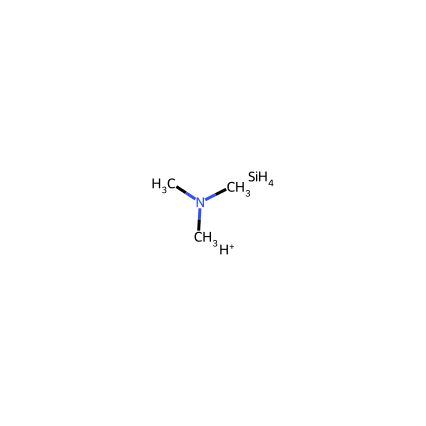 CN(C)C.[H+].[SiH4]